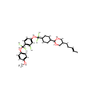 C/C=C/CCC1COC(C2CCC(C(F)(F)Oc3ccc(C(F)(F)Oc4ccc(OC(F)(F)F)cc4)c(F)c3)CC2)OC1